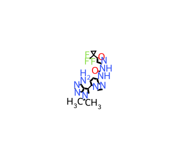 CC(C)n1cc(-c2ccc(NC(=O)Nc3cc(C4(C(F)(F)F)CC4)on3)c3nccn23)c2c(N)ncnc21